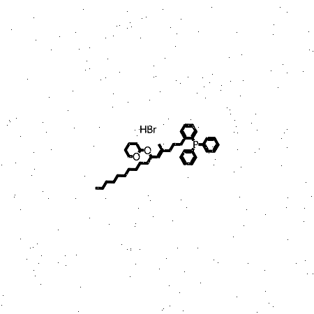 Br.CCCCCCCCCCC(/C=C(\C)CCCc1ccccc1P(c1ccccc1)c1ccccc1)OC1CCCCO1